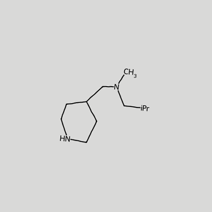 CC(C)CN(C)CC1CCNCC1